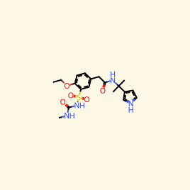 CCOc1ccc(CC(=O)NC(C)(C)c2cc[nH]c2)cc1S(=O)(=O)NC(=O)NC